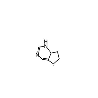 [CH]1CCC2NC=NC=C12